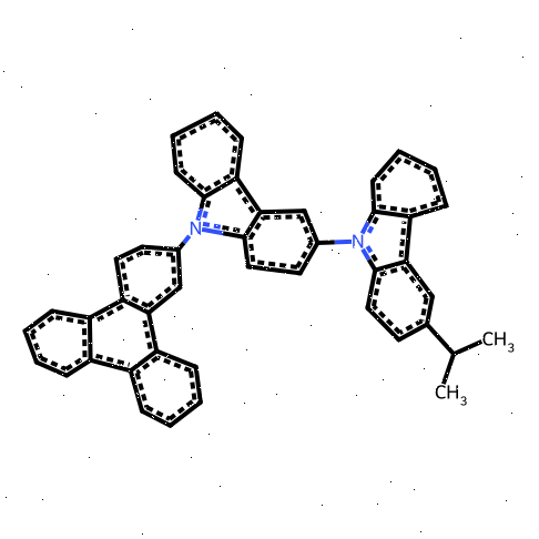 CC(C)c1ccc2c(c1)c1ccccc1n2-c1ccc2c(c1)c1ccccc1n2-c1ccc2c3ccccc3c3ccccc3c2c1